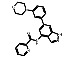 O=C(Nc1cc(-c2cccc(N3CCOCC3)c2)cc2[nH]ncc12)c1ccccn1